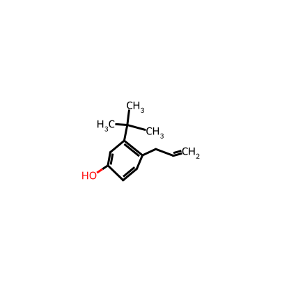 C=CCc1ccc(O)cc1C(C)(C)C